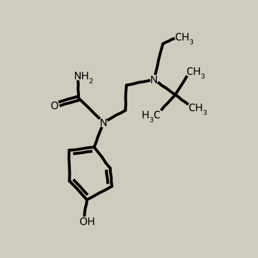 CCN(CCN(C(N)=O)c1ccc(O)cc1)C(C)(C)C